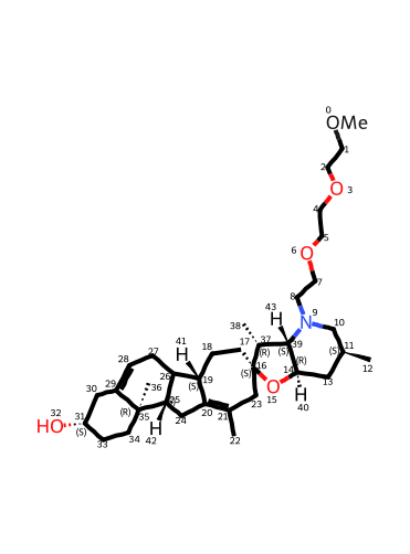 COCCOCCOCCN1C[C@@H](C)C[C@H]2O[C@]3(CC[C@@H]4C(=C(C)C3)C[C@H]3C4CC=C4C[C@@H](O)CC[C@@]43C)[C@H](C)[C@@H]21